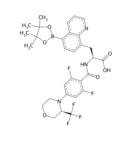 CC1(C)OB(c2ccc(C[C@H](NC(=O)c3c(F)cc(N4CCOC[C@@H]4C(F)(F)F)cc3F)C(=O)O)c3ncccc23)OC1(C)C